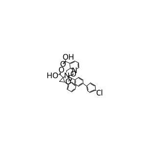 O=C(O)c1cccnc1CN(C1(C(=O)O)CC1c1ccccc1)S(=O)(=O)c1ccc(-c2ccc(Cl)cc2)cc1